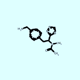 CC(=O)N(C)C(Cc1ccc(CN)cc1)c1nncs1